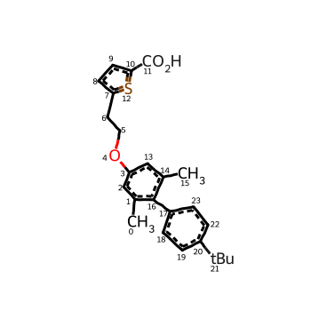 Cc1cc(OCCc2ccc(C(=O)O)s2)cc(C)c1-c1ccc(C(C)(C)C)cc1